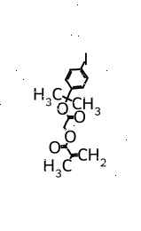 C=C(C)C(=O)OCC(=O)OC(C)(C)c1ccc(I)cc1